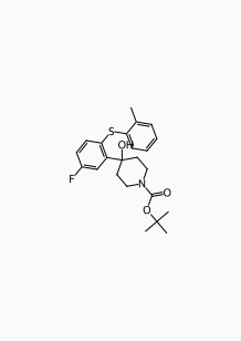 Cc1ccccc1Sc1ccc(F)cc1C1(O)CCN(C(=O)OC(C)(C)C)CC1